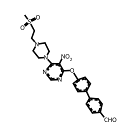 CS(=O)(=O)CCN1CCN(c2ncnc(Oc3ccc(-c4ccc(C=O)cc4)cc3)c2[N+](=O)[O-])CC1